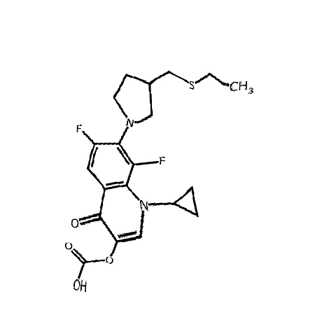 CCSCC1CCN(c2c(F)cc3c(=O)c(OC(=O)O)cn(C4CC4)c3c2F)C1